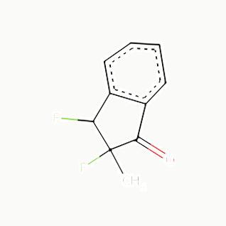 CC1(F)C(=O)c2ccccc2C1F